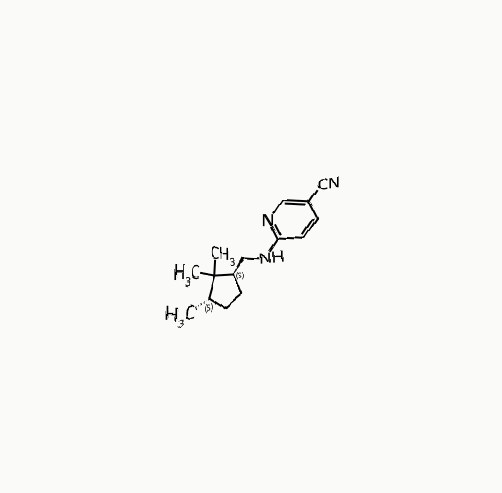 C[C@H]1CC[C@H](CNc2ccc(C#N)cn2)C1(C)C